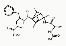 CCCCC(=O)NC(C(=O)NC1(C)C2=C(C)C3(C(=O)NC(Cc4ccccc4)CC(C)C(=O)OC)C(C)C1C23)C(C)C